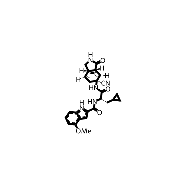 COc1cccc2[nH]c(C(=O)N[C@@H](CC3CC3)C(=O)N[C@@]3(C#N)C[C@@H]4CCC[C@H]3[C@H]3C(=O)NC[C@@H]43)cc12